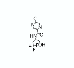 O=C(NC(CO)CC(F)(F)F)c1cnc(Cl)cn1